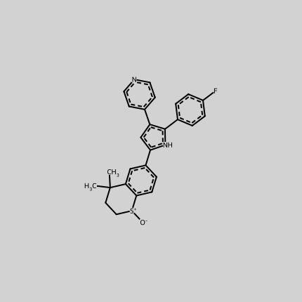 CC1(C)CC[S+]([O-])c2ccc(-c3cc(-c4ccncc4)c(-c4ccc(F)cc4)[nH]3)cc21